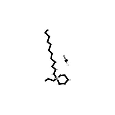 CCCCCCCCCCCC[N+]1(CCC)CCCCC1.[C-]#N